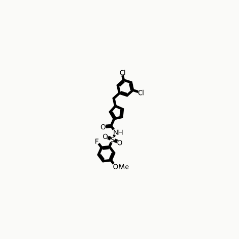 COc1ccc(F)c(S(=O)(=O)NC(=O)C2=CC(Cc3cc(Cl)cc(Cl)c3)C=C2)c1